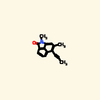 CC#Cc1c(C)cc2c3c(cccc13)C(=O)N2C